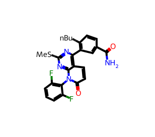 CCCCc1ccc(C(N)=O)cc1-c1nc(SC)nc2c1ccc(=O)n2-c1c(F)cccc1F